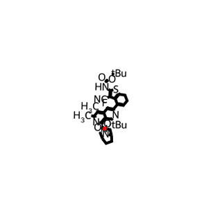 Cc1nc(N2CC3CCC(C2)N3C(=O)OC(C)(C)C)c2cnc(C3=CCCc4sc(NC(=O)OC(C)(C)C)c(C#N)c43)c(F)c2c1C